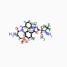 CC(C)(c1nnc(-c2cc3c(cc2F)S(=O)(=O)C[C@H](N)C(=O)N3Cc2ccc(Cl)cc2)o1)C(N)C(F)(F)F